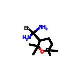 CCC(N)(N)C1CC[Si](C)(C)OC1(C)C